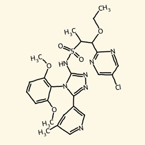 CCOC(c1ncc(Cl)cn1)C(C)S(=O)(=O)Nc1nnc(-c2cncc(C)c2)n1-c1c(OC)cccc1OC